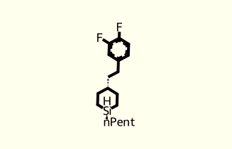 CCCCC[Si@H]1CC[C@H](CCc2ccc(F)c(F)c2)CC1